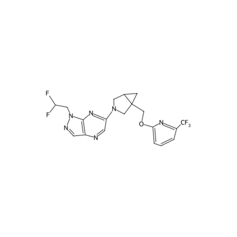 FC(F)Cn1ncc2ncc(N3CC4CC4(COc4cccc(C(F)(F)F)n4)C3)nc21